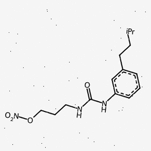 CC(C)CCc1cccc(NC(=O)NCCCO[N+](=O)[O-])c1